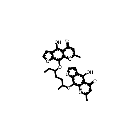 CCC(CCC(C)Oc1c2occc2c(O)c2c(=O)cc(C)oc12)Oc1c2occc2c(O)c2c(=O)cc(C)oc12